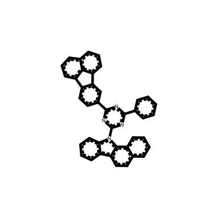 c1ccc(-c2nc(-c3ccc4c(c3)-c3cccc5cccc-4c35)nc(-n3c4ccccc4c4ccc5ccccc5c43)n2)cc1